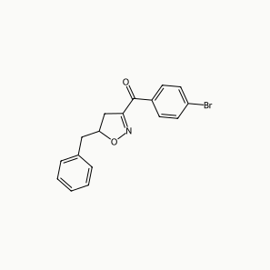 O=C(C1=NOC(Cc2ccccc2)C1)c1ccc(Br)cc1